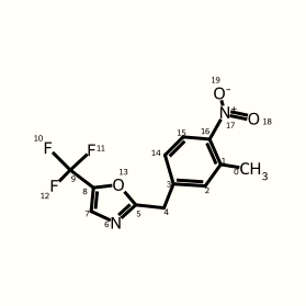 Cc1cc(Cc2ncc(C(F)(F)F)o2)ccc1[N+](=O)[O-]